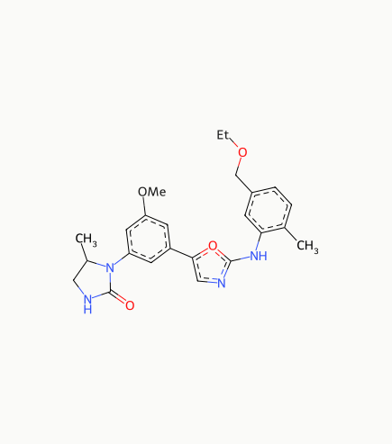 CCOCc1ccc(C)c(Nc2ncc(-c3cc(OC)cc(N4C(=O)NCC4C)c3)o2)c1